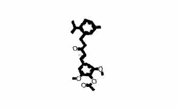 COc1cc(/C=C/C(=O)CCc2cc(C)ccc2C(C)C)cc(OC)c1OC(C)=O